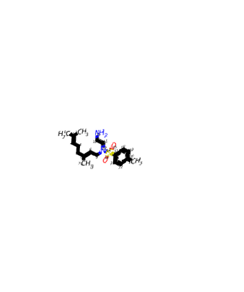 CC(C)=CCC/C(C)=C/CN(CCN)S(=O)(=O)c1ccc(C)cc1